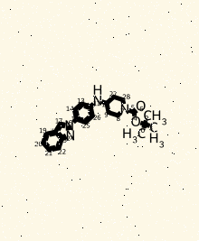 CC(C)(C)OC(=O)N1CCC(Nc2ccc(-n3cc4ccccc4n3)cc2)CC1